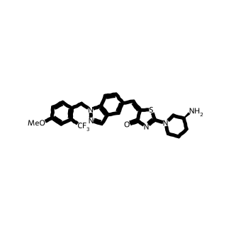 COc1ccc(Cn2ncc3cc(C=C4SC(N5CCC[C@H](N)C5)=NC4=O)ccc32)c(C(F)(F)F)c1